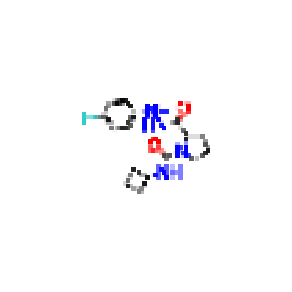 O=C(NNc1ccc(F)cc1)C1CCCN1C(=O)NC1CCC1